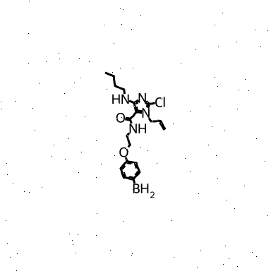 Bc1ccc(OCCNC(=O)c2c(NCCCC)nc(Cl)n2CC=C)cc1